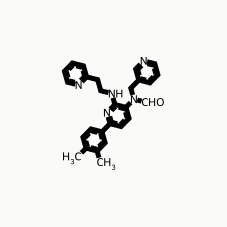 Cc1ccc(-c2ccc(N(C=O)Cc3cccnc3)c(NCCc3ccccn3)n2)cc1C